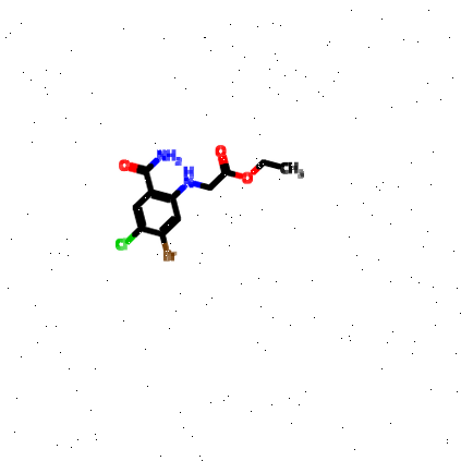 CCOC(=O)CNc1cc(Br)c(Cl)cc1C(N)=O